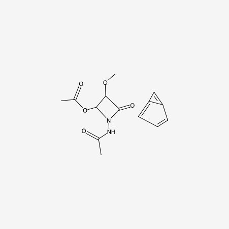 COC1C(=O)N(NC(C)=O)C1OC(C)=O.c1cc2cc-2c1